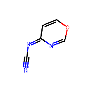 N#C/N=c1/ccocn1